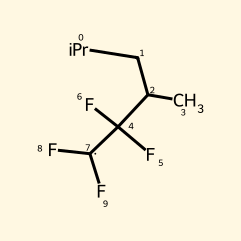 [CH2]C(C)CC(C)C(F)(F)[C](F)F